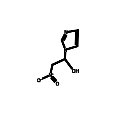 O=[N+]([O-])CC(O)n1ccnc1